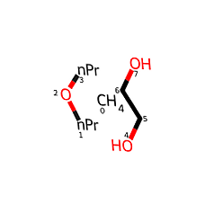 C.CCCOCCC.OCCO